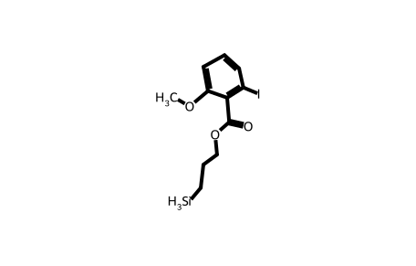 COc1cccc(I)c1C(=O)OCCC[SiH3]